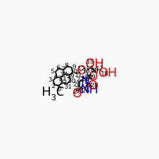 Cc1ccc2ccc3ccc(COC4C(O)[C@H](CO)O[C@@H]4n4ccc(=O)[nH]c4=O)c4ccc1c2c34